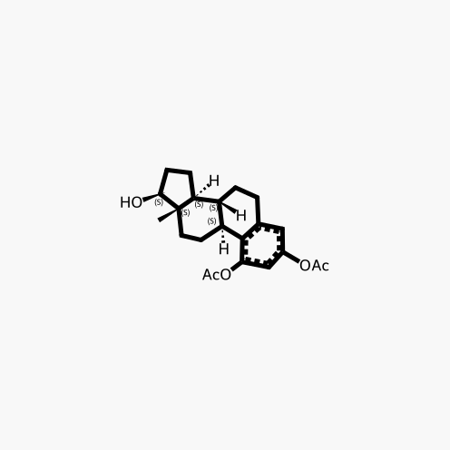 CC(=O)Oc1cc2c(c(OC(C)=O)c1)[C@H]1CC[C@]3(C)[C@@H](O)CC[C@H]3[C@@H]1CC2